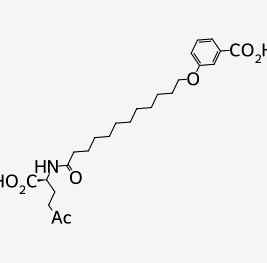 CC(=O)CC[C@H](NC(=O)CCCCCCCCCCCOc1cccc(C(=O)O)c1)C(=O)O